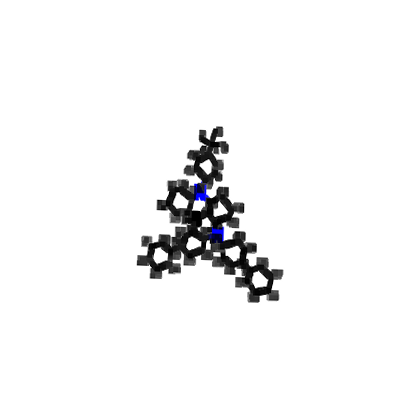 CC(C)(C)c1ccc(N2c3ccccc3B3c4cc(-c5ccccc5)ccc4N(c4ccc(-c5ccccc5)cc4)c4cccc2c43)cc1